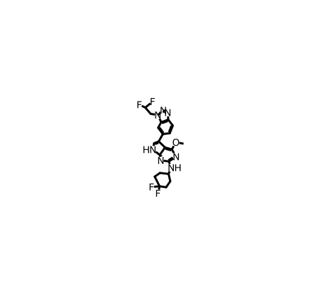 COc1nc(NC2CCC(F)(F)CC2)nc2[nH]cc(-c3ccc4nnn(CC(F)F)c4c3)c12